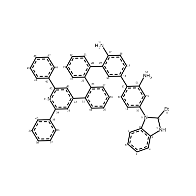 CCC1Nc2ccccc2N1c1ccc(-c2ccc(N)c(-c3ccccc3-c3ccccc3-c3cc(-c4ccccc4)nc(-c4ccccc4)c3)c2)c(N)c1